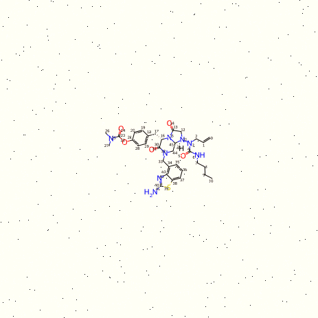 C=CCN(C(=O)NCCCC)N1CC(=O)N2[C@@H](Cc3ccc(OC(=O)N(C)C)cc3)C(=O)N(Cc3cccc4sc(N)nc34)C[C@@H]21